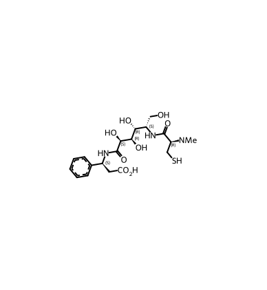 CN[C@@H](CS)C(=O)N[C@@H](CO)[C@@H](O)[C@@H](O)[C@H](O)C(=O)N[C@@H](CC(=O)O)c1ccccc1